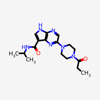 CCC(=O)N1CCN(c2cnc3[nH]cc(C(=O)NC(C)C)c3n2)CC1